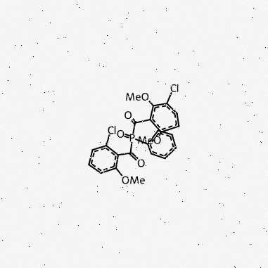 COc1cccc(Cl)c1C(=O)P(=O)(C(=O)c1c(OC)ccc(Cl)c1OC)c1ccccc1